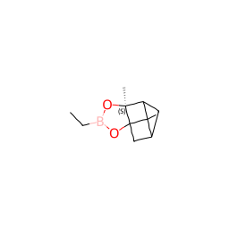 CCB1OC23CC4CC(C42C)[C@]3(C)O1